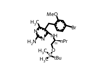 CCC[C@@H](CO[Si](C)(C)C(C)(C)C)Nc1nc(N)nc(C)c1Cc1ccc(Br)cc1OC